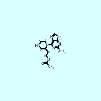 Nc1nc(N2CCNCC2CCOC(=O)C(F)(F)F)c2ncsc2n1